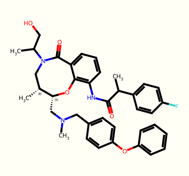 CC(C(=O)Nc1cccc2c1O[C@H](CN(C)Cc1ccc(Oc3ccccc3)cc1)[C@H](C)CN(C(C)CO)C2=O)c1ccc(F)cc1